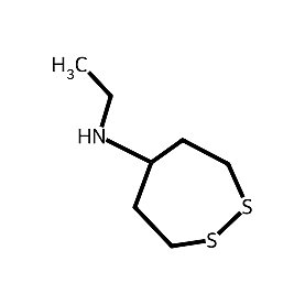 CCNC1CCSSCC1